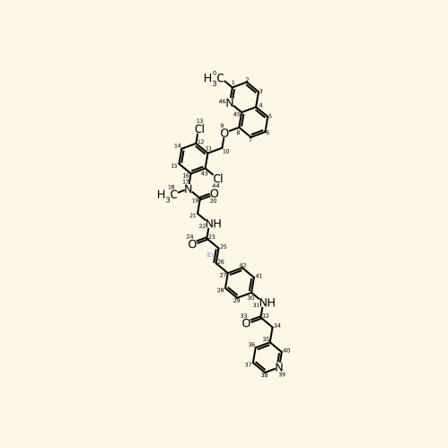 Cc1ccc2cccc(OCc3c(Cl)ccc(N(C)C(=O)CNC(=O)/C=C/c4ccc(NC(=O)Cc5cccnc5)cc4)c3Cl)c2n1